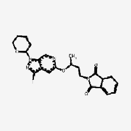 CC(CCN1C(=O)C2=CC=CCC2C1=O)Oc1cc2c(I)nn(C3CCCCO3)c2cn1